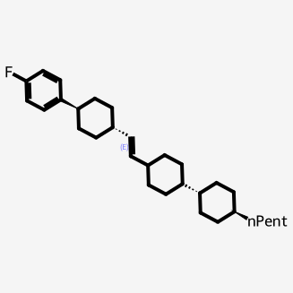 CCCCC[C@H]1CC[C@H](C2CCC(/C=C/[C@H]3CC[C@H](c4ccc(F)cc4)CC3)CC2)CC1